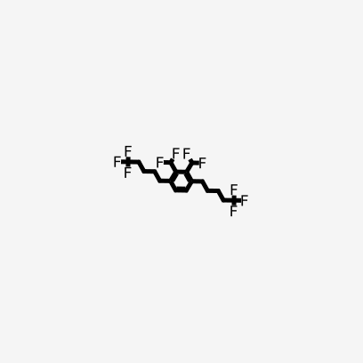 FC(F)c1c(CCCCC(F)(F)F)ccc(CCCCC(F)(F)F)c1C(F)F